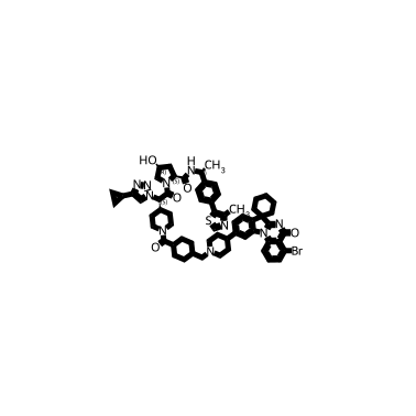 Cc1ncsc1-c1ccc([C@H](C)NC(=O)[C@@H]2C[C@@H](O)CN2C(=O)[C@H](C2CCN(C(=O)C3CCC(CN4CCC(c5ccc6c(c5)-n5c(nc(=O)c7c(Br)cccc75)C65CCCCC5)CC4)CC3)CC2)n2cc(C3CC3)nn2)cc1